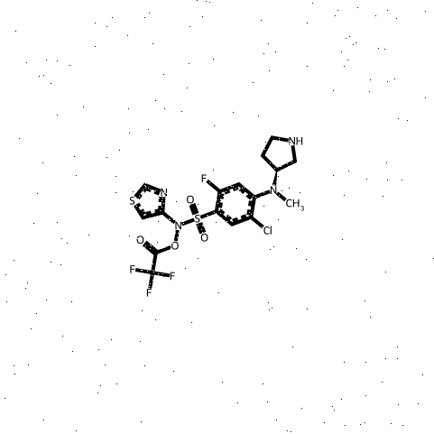 CN(c1cc(F)c(S(=O)(=O)N(OC(=O)C(F)(F)F)c2cscn2)cc1Cl)[C@H]1CCNC1